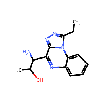 CCc1nnc2c(C(N)C(C)O)nc3ccccc3n12